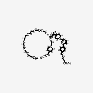 COCCOCc1ccc(-c2nc(N3CCC(F)(C(=O)NC4(C)CCCCCCCCCCCCCCCCCCCCCCCCCCCC5CCN(CC5)CC4)CC3)ncc2F)cc1